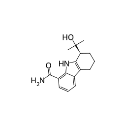 CC(C)(O)[C@H]1CCCc2c1[nH]c1c(C(N)=O)cccc21